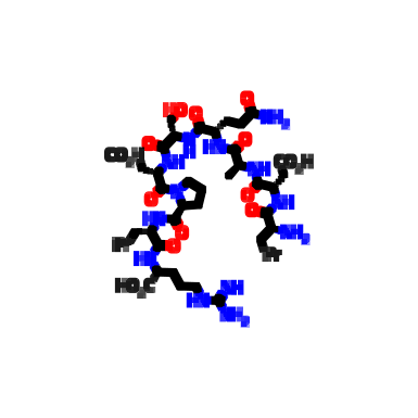 CC(C)C[C@H](NC(=O)[C@@H]1CCCN1C(=O)[C@H](CC(=O)O)NC(=O)[C@H](CO)NC(=O)[C@H](CCC(N)=O)NC(=O)[C@H](C)NC(=O)[C@H](CC(=O)O)NC(=O)[C@@H](N)CC(C)C)C(=O)N[C@@H](CCCNC(=N)N)C(=O)O